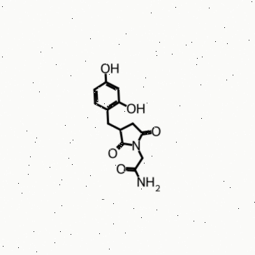 NC(=O)CN1C(=O)CC(Cc2ccc(O)cc2O)C1=O